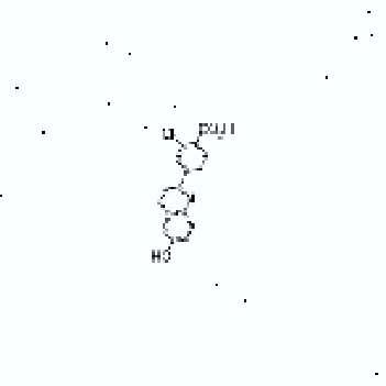 O=C(O)c1ccc(-c2ccc3cc(O)ccc3n2)cc1Cl